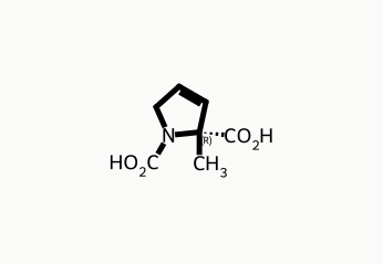 C[C@]1(C(=O)O)C=CCN1C(=O)O